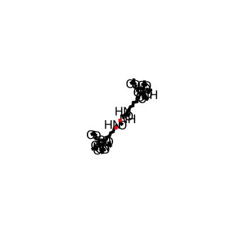 CC(=O)N[C@H]1[C@H](OCCCCCCNC(=O)CNCC(=O)NCCCCCCO[C@@H]2O[C@H](COC(C)=O)[C@H](OC(C)=O)[C@H](OC(C)=O)[C@H]2NC(C)=O)O[C@H](COC(C)=O)[C@H](OC(C)=O)[C@@H]1OC(C)=O